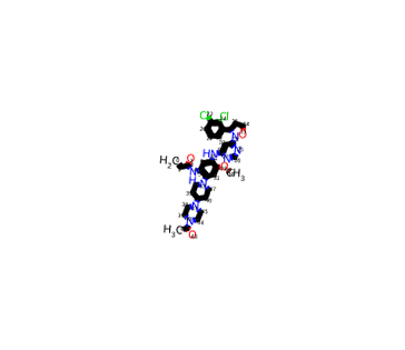 C=CC(=O)Nc1cc(Nc2cc(N3OCCC3c3cccc(Cl)c3Cl)ncn2)c(OC)cc1N1CCC(N2CCN(C(C)=O)CC2)CC1